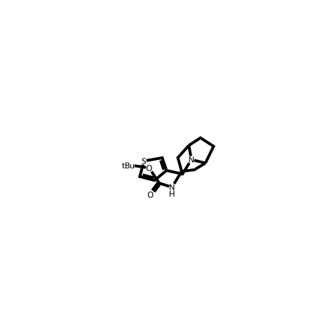 CC(C)(C)OC(=O)NC1CC2CCC(C1)N2Cc1ccsc1